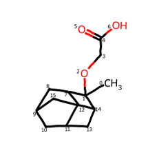 CC1(OCC(=O)O)C2CC3CC(C2)CC1C3